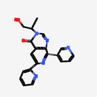 CC(CO)n1cnc2c(-c3cccnc3)nc(-c3ccccn3)cc2c1=O